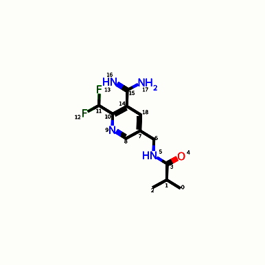 CC(C)C(=O)NCc1cnc(C(F)F)c(C(=N)N)c1